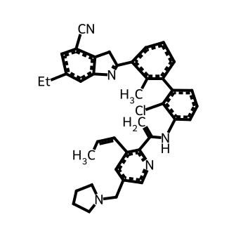 C=C(Nc1cccc(-c2cccc(C3=Nc4cc(CC)cc(C#N)c4C3)c2C)c1Cl)c1ncc(CN2CCCC2)cc1/C=C\C